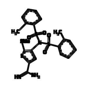 CSc1sc(C(=N)N)cc1N(S(=O)(=O)c1ccccc1C)S(=O)(=O)c1ccccc1C